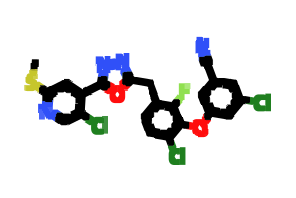 CSc1cc(-c2nnc(Cc3ccc(Cl)c(Oc4cc(Cl)cc(C#N)c4)c3F)o2)c(Cl)cn1